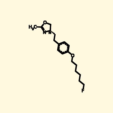 CC1=N[C@@H](CCc2ccc(OCCCCCCF)cc2)CO1